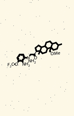 COCC12CCC(C)CC1CCC1C2CCC2(C)C1CC[C@@H]2C(=O)CN(N)c1cccc(OC(F)(F)F)c1N